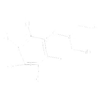 CC(C)[CH2][Al]([CH2]C(C)C)[O]c1c(Cl)c(Cl)c(Cl)c(Cl)c1Cl